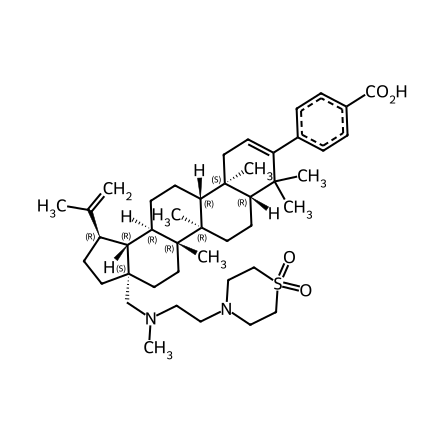 C=C(C)[C@@H]1CC[C@]2(CN(C)CCN3CCS(=O)(=O)CC3)CC[C@]3(C)[C@H](CC[C@@H]4[C@@]5(C)CC=C(c6ccc(C(=O)O)cc6)C(C)(C)[C@@H]5CC[C@]43C)[C@@H]12